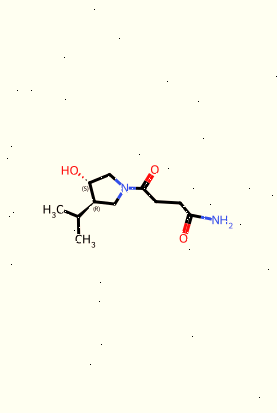 CC(C)[C@@H]1CN(C(=O)CCC(N)=O)C[C@H]1O